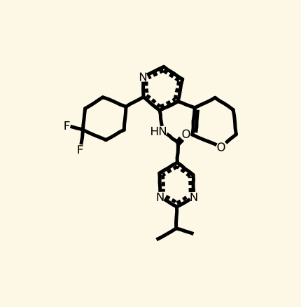 CC(C)c1ncc(C(=O)Nc2c(C3=COCCC3)ccnc2C2CCC(F)(F)CC2)cn1